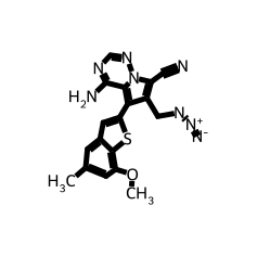 COc1cc(C)cc2cc(-c3c(CN=[N+]=[N-])c(C#N)n4ncnc(N)c34)sc12